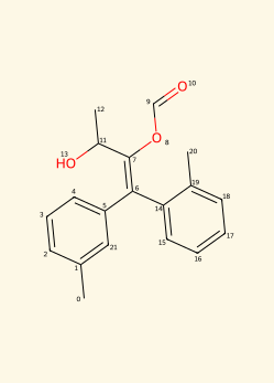 Cc1cccc(/C(=C(/OC=O)C(C)O)c2ccccc2C)c1